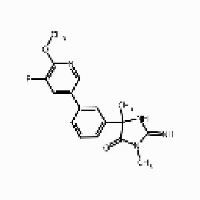 COc1ncc(-c2cccc(C3(C)NC(=N)N(C)C3=O)c2)cc1F